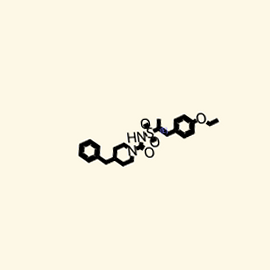 CCOc1ccc(/C=C(\C)S(=O)(=O)NC(=O)N2CCC(Cc3ccccc3)CC2)cc1